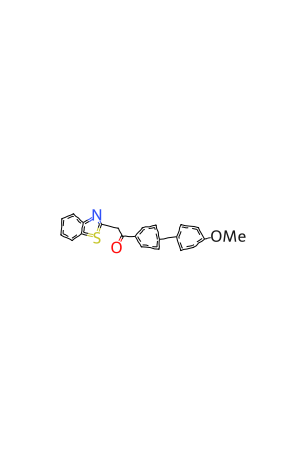 COc1ccc(-c2ccc(C(=O)Cc3nc4ccccc4s3)cc2)cc1